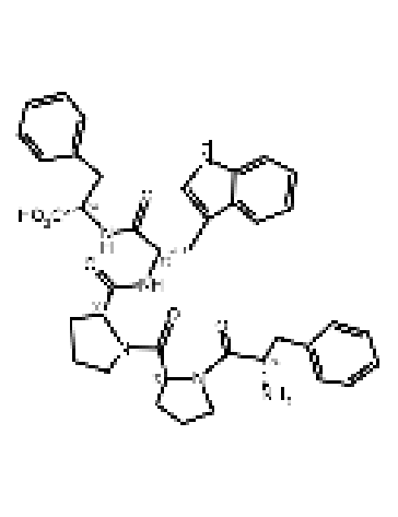 N[C@@H](Cc1ccccc1)C(=O)N1CCC[C@H]1C(=O)N1CCC[C@H]1C(=O)N[C@@H](Cc1c[nH]c2ccccc12)C(=O)N[C@@H](Cc1ccccc1)C(=O)O